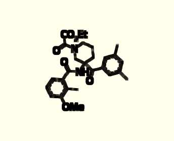 CCOC(=O)C(=O)N1CCCC(NC(=O)c2cccc(OC)c2C)(C(=O)c2cc(C)cc(C)c2)C1